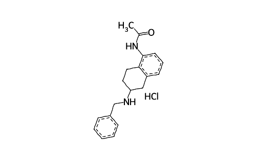 CC(=O)Nc1cccc2c1CCC(NCc1ccccc1)C2.Cl